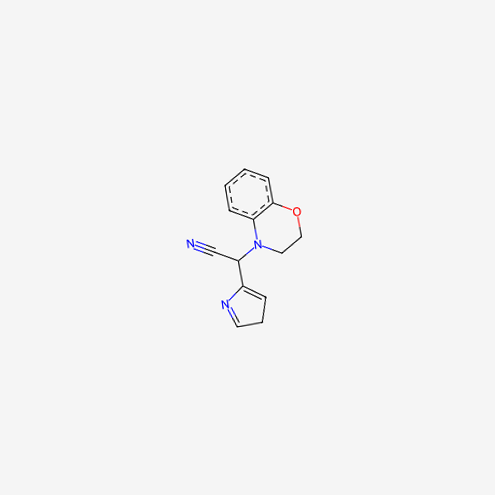 N#CC(C1=CCC=N1)N1CCOc2ccccc21